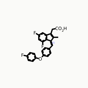 CC1=C(CC(=O)O)c2cc(F)cc(F)c2/C1=C\c1ccc(Oc2ccc(F)cc2)cc1